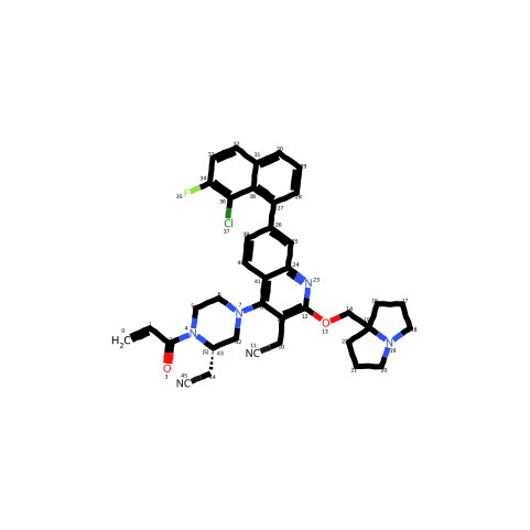 C=CC(=O)N1CCN(c2c(CC#N)c(OCC34CCCN3CCC4)nc3cc(-c4cccc5ccc(F)c(Cl)c45)ccc23)C[C@@H]1CC#N